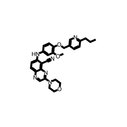 CCCc1ccc(COc2ccc(Nc3ccc4ncc(N5CCOCC5)nc4c3C#N)cc2OC)cn1